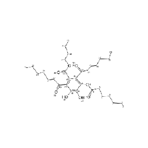 CCCCCCC(=O)Oc1c(O)c(O)c(C(=O)CCCCCC)c(C(=O)OCCCC)c1C(=O)CCCCCC